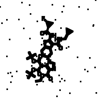 CCOC(=O)c1ncn([C@H]2CCc3sc(NC(=O)[C@@H]4C[C@@H]4F)c(C(=O)NCC4CC4)c3C2)c1N(C(=O)OC(C)(C)C)C(=O)OC(C)(C)C